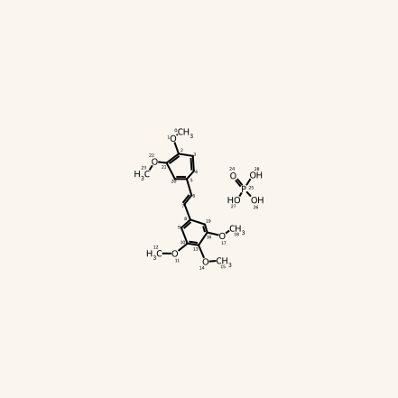 COc1ccc(C=Cc2cc(OC)c(OC)c(OC)c2)cc1OC.O=P(O)(O)O